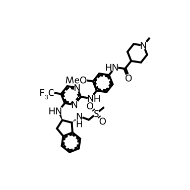 COc1cc(NC(=O)C2CCN(C)CC2)ccc1Nc1ncc(C(F)(F)F)c(N[C@@H]2Cc3ccccc3[C@H]2NCS(C)(=O)=O)n1